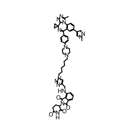 Cc1nnc2n1-c1ccc(-c3cnn(C)c3)cc1C(c1ccc(N3CCN(CCCCCCn4cc(CNc5cccc6c5C(=O)N(C5CCC(=O)NC5=O)C6=O)nn4)CC3)cc1)=NC21CC1